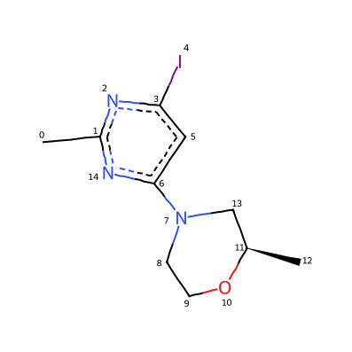 Cc1nc(I)cc(N2CCO[C@H](C)C2)n1